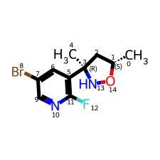 C[C@H]1C[C@](C)(c2cc(Br)cnc2F)NO1